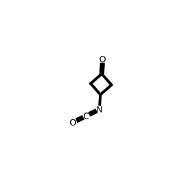 O=C=NC1CC(=O)C1